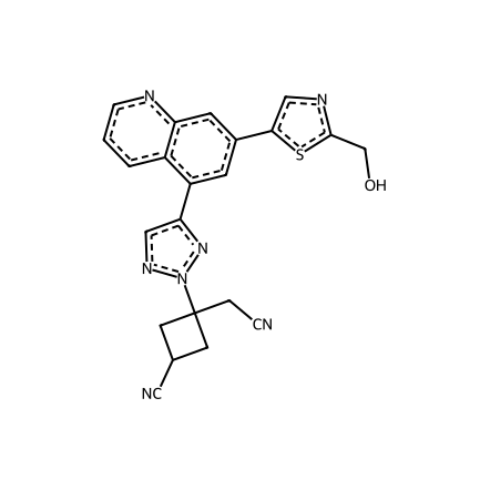 N#CCC1(n2ncc(-c3cc(-c4cnc(CO)s4)cc4ncccc34)n2)CC(C#N)C1